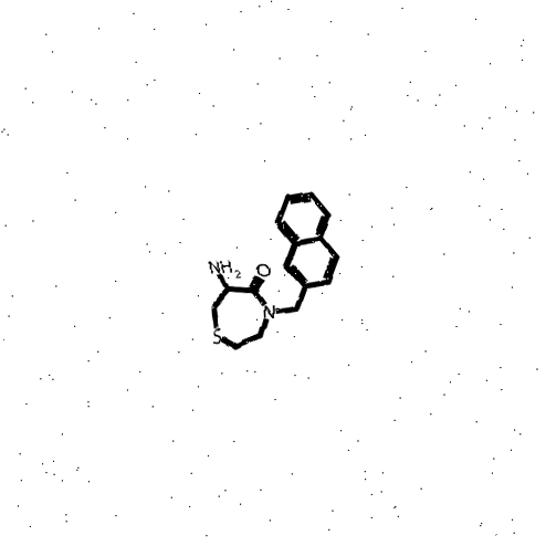 NC1CSCCN(Cc2ccc3ccccc3c2)C1=O